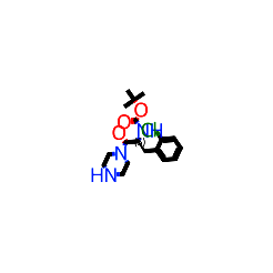 CC(C)(C)OC(=O)N[C@@H](Cc1ccccc1Cl)C(=O)N1CCNCC1